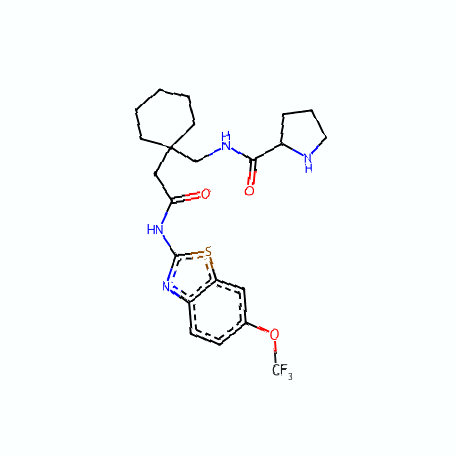 O=C(CC1(CNC(=O)C2CCCN2)CCCCC1)Nc1nc2ccc(OC(F)(F)F)cc2s1